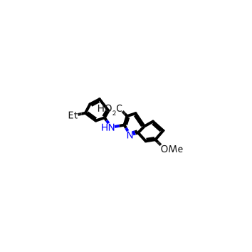 CCc1cccc(Nc2nc3cc(OC)ccc3cc2C(=O)O)c1